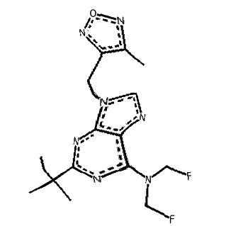 Cc1nonc1Cn1cnc2c(N(CF)CF)nc(C(C)(C)C)nc21